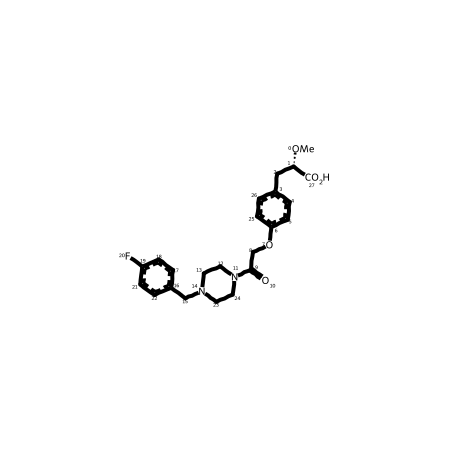 CO[C@@H](Cc1ccc(OCC(=O)N2CCN(Cc3ccc(F)cc3)CC2)cc1)C(=O)O